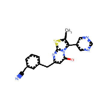 Cc1sc2nc(Cc3cccc(C#N)c3)cc(=O)n2c1-c1cncnc1